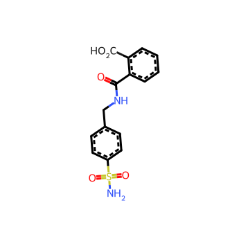 NS(=O)(=O)c1ccc(CNC(=O)c2ccccc2C(=O)O)cc1